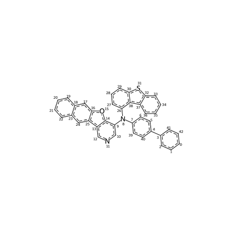 c1ccc(-c2ccc(N(c3cncc4c3oc3cc5ccccc5cc34)c3cccc4sc5ccccc5c34)cc2)cc1